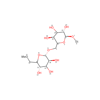 CCO[C@H]1OC(CO[C@H]2OC(COC)[C@@H](O)C(O)[C@@H]2O)[C@@H](O)C(O)[C@@H]1O